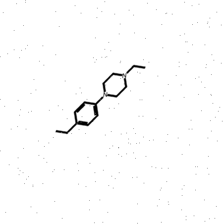 CCc1ccc(N2CCN(CC)CC2)cc1